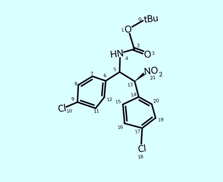 CC(C)(C)OC(=O)NC(c1ccc(Cl)cc1)[C@H](c1ccc(Cl)cc1)[N+](=O)[O-]